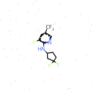 Fc1cc(C(F)(F)F)cnc1NC1CCC(F)(F)C1